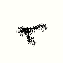 CC(C)CCCC(C)C1CCC2C3CC=C4CC(OC(=O)NCCCN(CCCNCC(N)CCCNC(=N)N)CCCN(CCCNC(=O)OC5CCC6(C)C(=CCC7C6CCC6(C)C(C(C)CCCC(C)C)CCC76)C5)CCCNC(=O)C(N)CCCNC(=N)N)CCC4(C)C3CCC12C